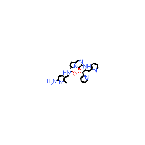 Cc1nc(N)ccc1CNC(=O)[C@@H]1CCc2cnc(NC(Cc3ccccn3)Cc3ccccn3)c(=O)n21